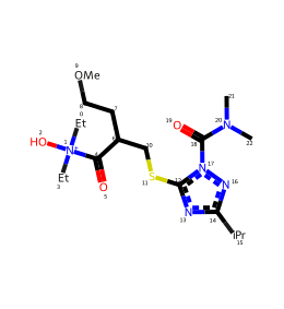 CC[N+](O)(CC)C(=O)C(CCOC)CSc1nc(C(C)C)nn1C(=O)N(C)C